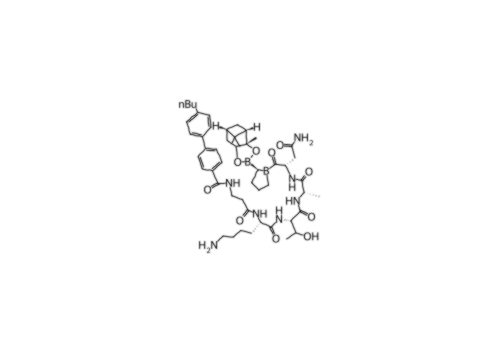 CCCCc1ccc(-c2ccc(C(=O)NCCC(=O)N[C@@H](CCCCN)C(=O)N[C@H](C(=O)N[C@@H](C)C(=O)N[C@@H](CC(N)=O)C(=O)B3CCC[C@H]3B3OC4C[C@@H]5C[C@@H](C5(C)C)[C@]4(C)O3)C(C)O)cc2)cc1